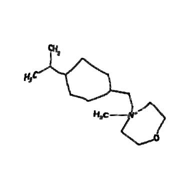 CC(C)C1CCC(C[N+]2(C)CCOCC2)CC1